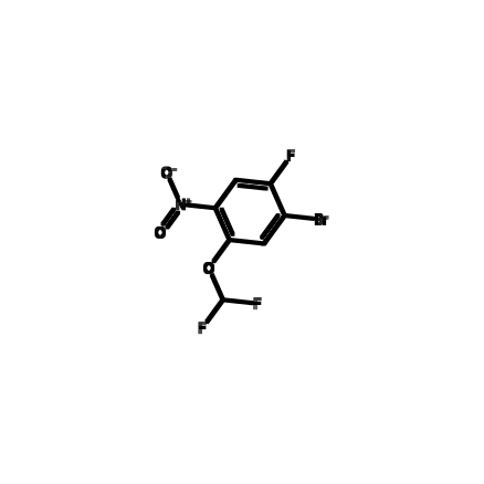 O=[N+]([O-])c1cc(F)c(Br)cc1OC(F)F